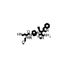 C#Cc1c(-c2cnc3ccccc3c2)c2c(N)ncnc2n1C12CCC(NC(=O)/C(=C/C=N)NCCOC)(CC1)C2